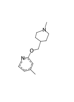 Cc1ccnc(OCC2CCN(C)CC2)c1